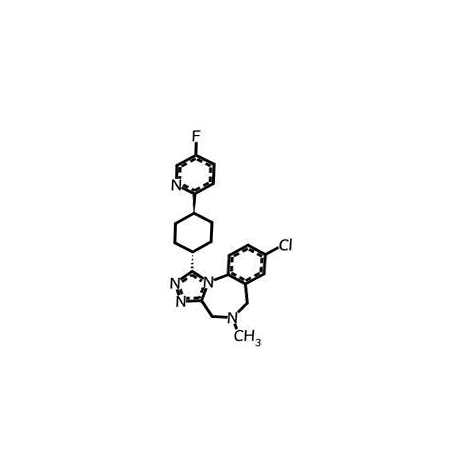 CN1Cc2cc(Cl)ccc2-n2c(nnc2[C@H]2CC[C@H](c3ccc(F)cn3)CC2)C1